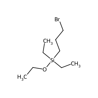 CCO[Si](CC)(CC)CCCBr